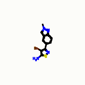 Cn1cc2cc(-c3nsc(N)c3Br)ccc2n1